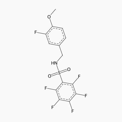 COc1ccc(CNS(=O)(=O)c2c(F)c(F)c(F)c(F)c2F)cc1F